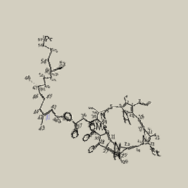 C=Cc1c(C)c2cc3nc(c4c5[nH]c(cc6nc(cc1[nH]2)C(C)=C6CC)c(C)c5C(=O)C4C(=O)OC)[C@@H](CCC(=O)OC/C=C(\C)CCC[C@H](C)CCC[C@H](C)CCCC(C)C)C3C